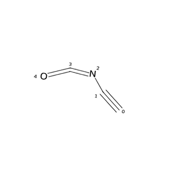 C#CN=C=O